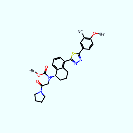 CC(C)Oc1ccc(-c2nnc(-c3cccc4c3CCC[C@H]4N(CC(=O)N3CCCC3)C(=O)OC(C)(C)C)s2)cc1C#N